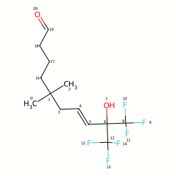 CC(C)(C/C=C/C(O)(C(F)(F)F)C(F)(F)F)CCCC=O